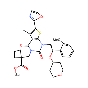 COc1ccccc1[C@H](Cn1c(=O)n(CC2(C(=O)OC(C)(C)C)CCC2)c(=O)c2c(C)c(-c3ncco3)sc21)OC1CCOCC1